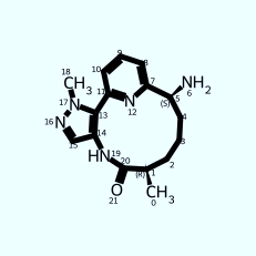 C[C@@H]1CCC[C@H](N)c2cccc(n2)-c2c(cnn2C)NC1=O